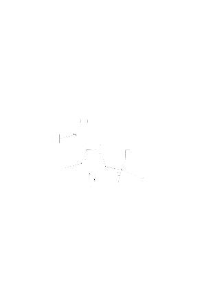 Cc1nc(C(F)(F)F)sc1C(=O)Cl